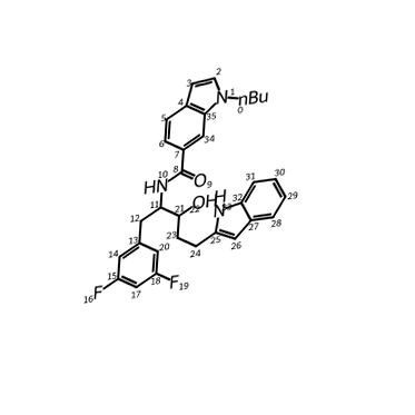 CCCCn1ccc2ccc(C(=O)NC(Cc3cc(F)cc(F)c3)C(O)CCc3cc4ccccc4[nH]3)cc21